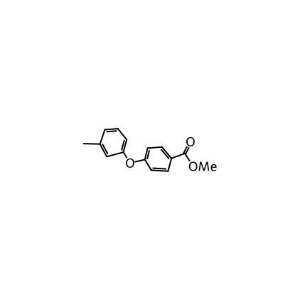 COC(=O)c1ccc(Oc2cccc(C)c2)cc1